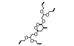 C=CCOC(COC(=O)CC(=C)C(=O)OCC(OCC=C)OCC=C)OCC=C